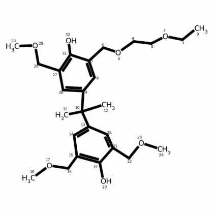 CCOCCOCc1cc(C(C)(C)c2cc(COC)c(O)c(COC)c2)cc(COC)c1O